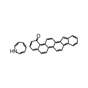 C1=CC=CNC=C1.O=C1C=CC=c2ccc3c(ccc4c5c(ccc43)=c3ccccc3=C5)c21